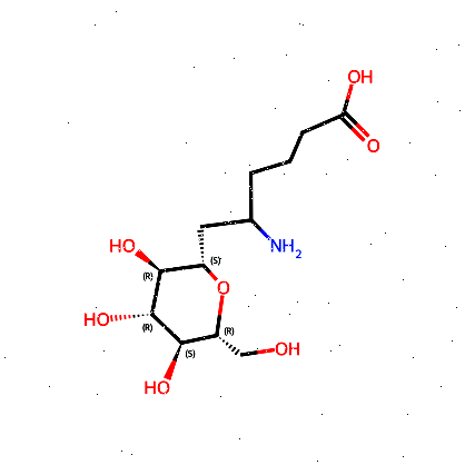 NC(CCCC(=O)O)C[C@@H]1O[C@H](CO)[C@@H](O)[C@H](O)[C@H]1O